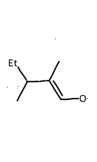 CCC(C)/C(C)=C/[O]